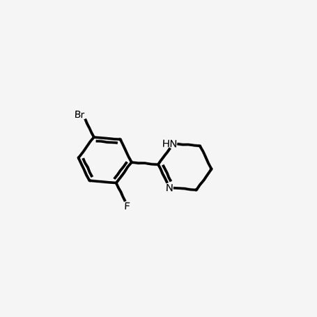 Fc1ccc(Br)cc1C1=NCCCN1